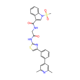 Cc1cc(-c2cccc(-c3csc(NC(=O)CNC(=O)c4cn(S(C)(=O)=O)c5ccccc45)n3)c2)cc(C)n1